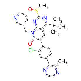 Cc1nccnc1-c1ccc(-c2cc3c(C(C)(C)C)nc([S+](C)[O-])nc3n(Cc3cccnc3)c2=O)c(Cl)c1